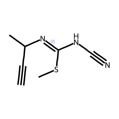 C#CC(C)/N=C(/NC#N)SC